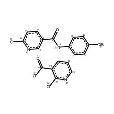 CC(C)(C)c1ccc(NC(=O)c2ccc(Cl)nc2)cc1.O=C(Cl)c1cccnc1Cl